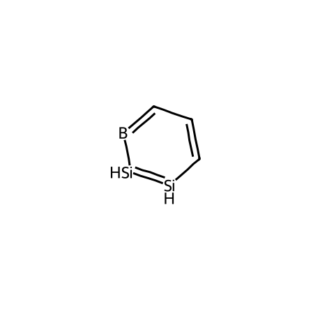 b1ccc[siH][siH]1